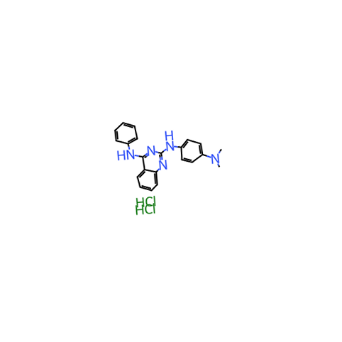 CN(C)c1ccc(Nc2nc(Nc3ccccc3)c3ccccc3n2)cc1.Cl.Cl